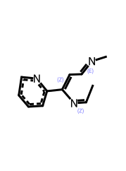 C\C=N/C(=C\C=N\C)c1ccccn1